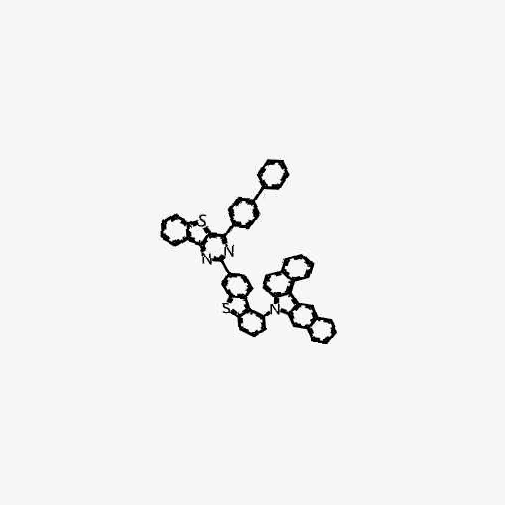 c1ccc(-c2ccc(-c3nc(-c4ccc5c(c4)sc4cccc(-n6c7cc8ccccc8cc7c7c8ccccc8ccc76)c45)nc4c3sc3ccccc34)cc2)cc1